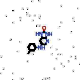 Cc1cccc(Nc2cnc3[nH]c(=O)[nH]c3c2)c1